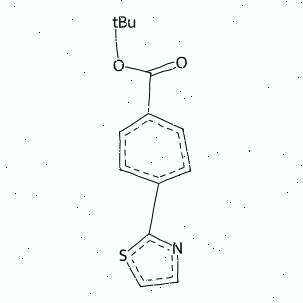 CC(C)(C)OC(=O)c1ccc(-c2nccs2)cc1